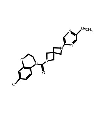 COc1cnc(N2CC3(CN(C(=O)N4CCOc5cc(Cl)ccc54)C3)C2)cn1